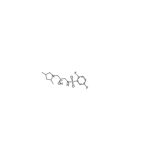 CC1CC(C)N(C[C@H](O)CNS(=O)(=O)c2cc(F)ccc2F)C1